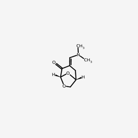 CN(C)/C=C1\C[C@@H]2CO[C@@H](O2)C1=O